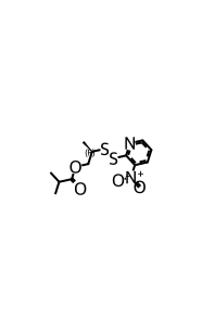 CC(C)C(=O)OC[C@@H](C)SSc1ncccc1[N+](=O)[O-]